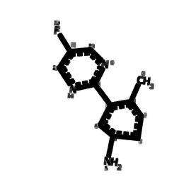 Cc1ccc(N)cc1-c1ncc(F)cn1